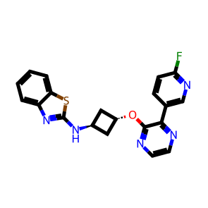 Fc1ccc(-c2nccnc2O[C@H]2C[C@H](Nc3nc4ccccc4s3)C2)cn1